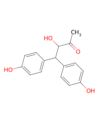 CC(=O)C(O)C(c1ccc(O)cc1)c1ccc(O)cc1